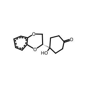 O=C1CCC(O)([C@H]2COc3ccccc3O2)CC1